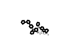 CC1(C)c2ccccc2-c2ccc(N(c3ccccc3)c3ccc4c5ccccc5n(-c5ccc(-c6cccc(-c7ccccc7)c6)cc5)c4c3)cc21